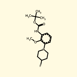 COc1c(NC(=O)OC(C)(C)C)cccc1N1CCC(F)CC1